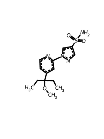 CCC(CC)(OC)c1ccnc(-n2cc(S(N)(=O)=O)cn2)c1